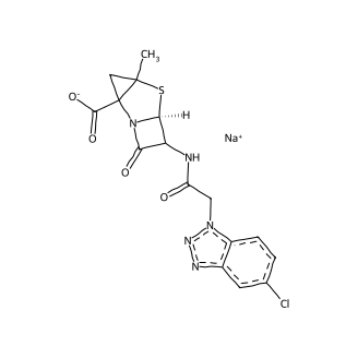 CC12CC1(C(=O)[O-])N1C(=O)C(NC(=O)Cn3nnc4cc(Cl)ccc43)[C@@H]1S2.[Na+]